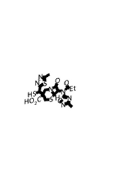 CCC(=O)N(c1nc(C)no1)C1C(=O)N2CC(C(=O)O)(C(S)c3nnc(C)s3)CS[C@H]12